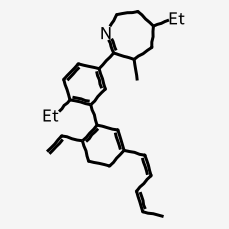 C=CC1=C(c2cc(C3=NCCC(CC)CC3C)ccc2CC)C=C(/C=C\C=C/C)CC1